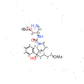 COCCCCC(O)(c1ccccc1)C1CCCN(C(=O)NC(CN)COC(C)(C)C)C1